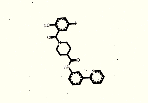 N#Cc1ccc(F)cc1C(=O)N1CCC(C(=O)Nc2cccc(-c3ccccn3)c2)CC1